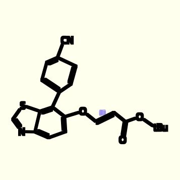 CC(C)(C)OC(=O)/C=C/Oc1ccc2ncsc2c1-c1ccc(C#N)cc1